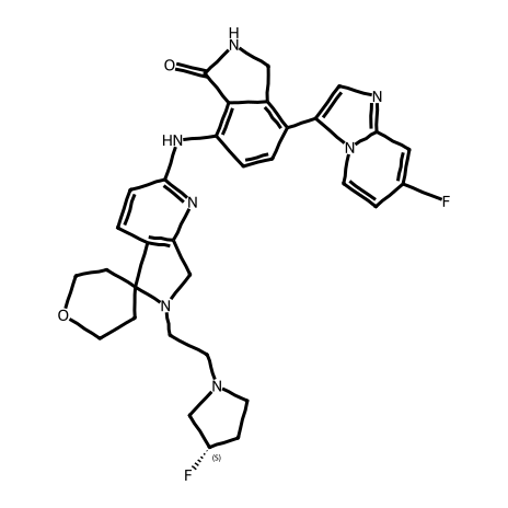 O=C1NCc2c(-c3cnc4cc(F)ccn34)ccc(Nc3ccc4c(n3)CN(CCN3CC[C@H](F)C3)C43CCOCC3)c21